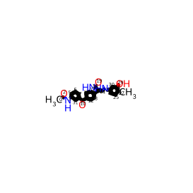 CC(=O)Nc1cccc(C(=O)c2ccc3c(c2)NC(=O)C3=CNc2ccc(C)c(O)c2)c1